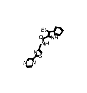 CCc1c(C(=O)NCc2csc(-c3cnccn3)n2)[nH]c2ccccc12